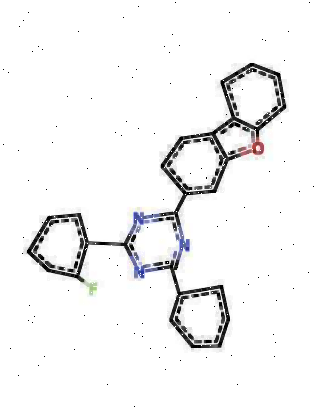 Fc1ccccc1-c1nc(-c2ccccc2)nc(-c2ccc3c(c2)oc2ccccc23)n1